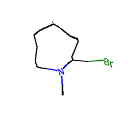 CN1CC[CH]CC1Br